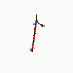 CCCCCCCCCCCN(CCCC(=O)NCCOCCOCCOCCOCCOCCOCCOCCOCCOCCOCCOCCOCCC(=O)NCC(=O)OCC)C(=O)CCCCCCCCCC(=O)O